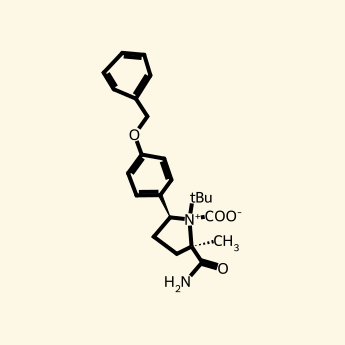 CC(C)(C)[N+]1(C(=O)[O-])[C@H](c2ccc(OCc3ccccc3)cc2)CC[C@]1(C)C(N)=O